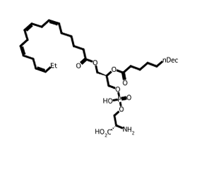 CC/C=C\C/C=C\C/C=C\C/C=C\CCCCC(=O)OC[C@H](COP(=O)(O)OC[C@H](N)C(=O)O)OC(=O)CCCCCCCCCCCCCC